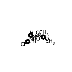 COc1ccc(N(C(=O)CNc2ccccc2Nc2ccc(Cl)cc2)C(C)C)cc1